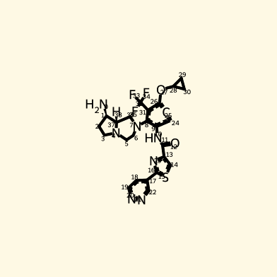 N[C@@H]1CCN2CCN(c3c(NC(=O)c4csc(-c5ccnnc5)n4)ccc(OC4CC4)c3C(F)(F)F)C[C@@H]12